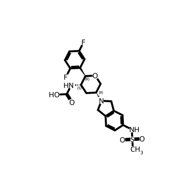 CS(=O)(=O)Nc1ccc2c(c1)CN([C@H]1CO[C@H](c3cc(F)ccc3F)[C@@H](NC(=O)O)C1)C2